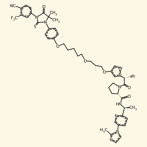 Cc1nccn1-c1ccc([C@H](C)NC(=O)[C@@H]2CCCN2C(=O)[C@@H](C(C)C)n2cc(OCCCOCCCCCOc3ccc(N4C(=S)N(c5ccc(C#N)c(C(F)(F)F)c5)C(=O)C4(C)C)cc3)cn2)nc1